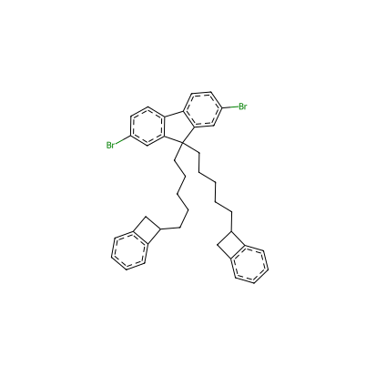 Brc1ccc2c(c1)C(CCCCCC1Cc3ccccc31)(CCCCCC1Cc3ccccc31)c1cc(Br)ccc1-2